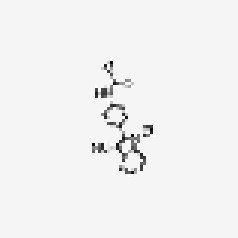 CCn1c(-c2ccc(NC(=O)C3CC3)cc2)c(C#N)c2ccccc21